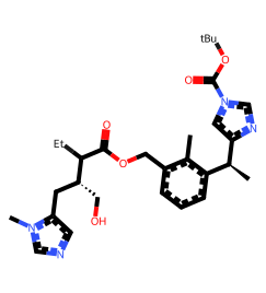 CCC(C(=O)OCc1cccc([C@H](C)c2cn(C(=O)OC(C)(C)C)cn2)c1C)[C@H](CO)Cc1cncn1C